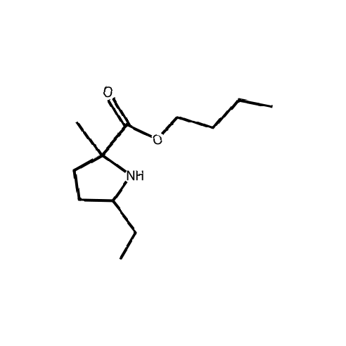 CCCCOC(=O)C1(C)CCC(CC)N1